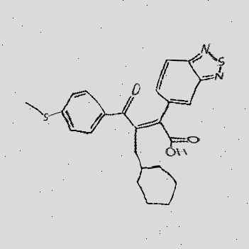 CSc1ccc(C(=O)C(CC2CCCCC2)=C(C(=O)O)c2ccc3nsnc3c2)cc1